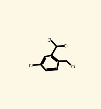 ClCc1ccc(Cl)cc1C(Cl)Cl